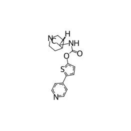 O=C(N[C@H]1CN2CCC1CC2)Oc1ccc(-c2ccncc2)s1